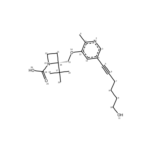 Cc1ncc(C#CCCCCO)cc1OC[C@@]1(C(C)(C)C)CCN1C(=O)O